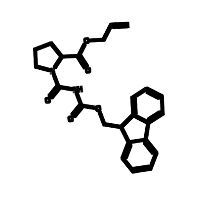 C=CCOC(=O)C1CCCN1C(=O)NC(=O)OCC1c2ccccc2-c2ccccc21